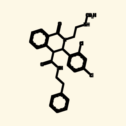 O=C(O)NCCN1C(=O)c2ccccc2C(C(=O)NCCc2ccccc2)C1c1ccc(Cl)cc1Cl